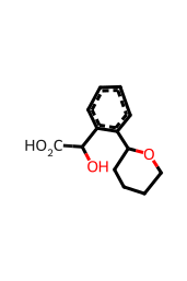 O=C(O)C(O)c1ccccc1C1CCCCO1